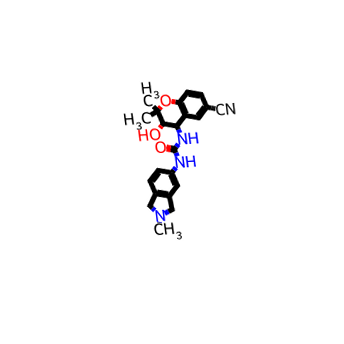 CN1Cc2ccc(NC(=O)NC3c4cc(C#N)ccc4OC(C)(C)C3O)cc2C1